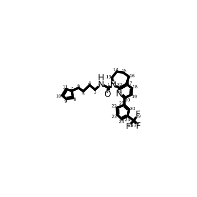 O=C(NCCCCC1C=CC=C1)N1CCCCc2ccc(-c3cccc(C(F)(F)F)c3)nc21